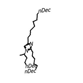 CCCCCCCCCCCCCCCCCc1cn(C(C)CCCCCCCCCCCC)c(CCCCCCCCCCCCCCC)n1